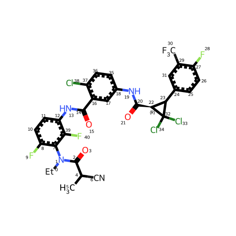 CCN(C(=O)C(C)C#N)c1c(F)ccc(NC(=O)c2cc(NC(=O)[C@H]3C(c4ccc(F)c(C(F)(F)F)c4)C3(Cl)Cl)ccc2Cl)c1F